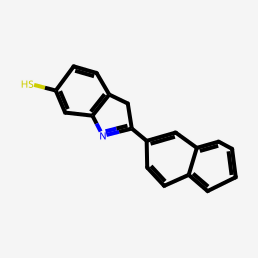 Sc1ccc2c(c1)N=C(c1ccc3ccccc3c1)C2